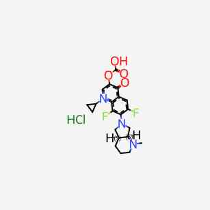 CN1CCC[C@H]2CN(c3c(F)cc4c(=O)c(OC(=O)O)cn(C5CC5)c4c3F)C[C@H]21.Cl